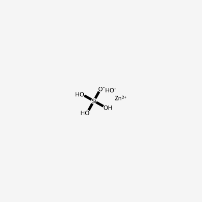 [O-][Si](O)(O)O.[OH-].[Zn+2]